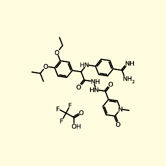 CCOc1cc(C(Nc2ccc(C(=N)N)cc2)C(=O)NNC(=O)c2ccc(=O)n(C)c2)ccc1OC(C)C.O=C(O)C(F)(F)F